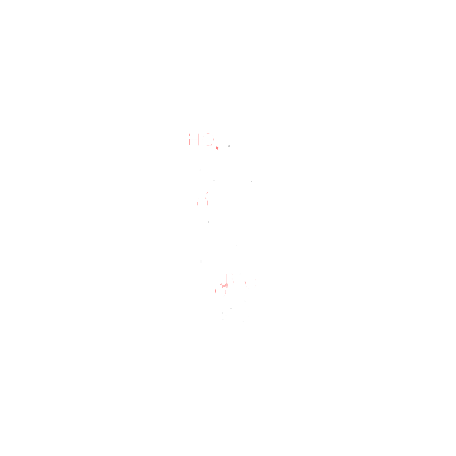 CC1(C)OB(c2ccc(O[C@@H]3CCC[C@H](O)C3)cc2)OC1(C)C